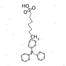 CCCCCCCS(=O)(=O)O.c1ccc(P(c2ccccc2)c2ccccc2)cc1